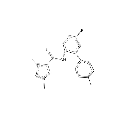 Cc1ccc(-c2cc(F)ccc2NC(=O)c2cn(C)nc2C)cc1